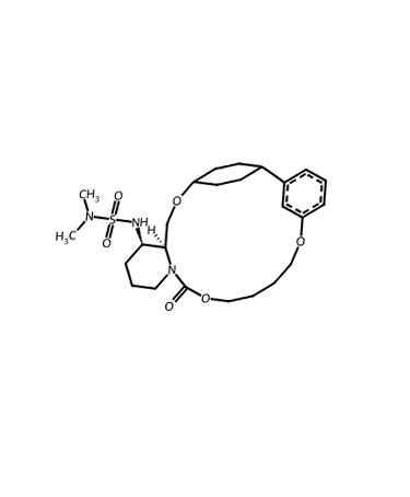 CN(C)S(=O)(=O)N[C@@H]1CCCN2C(=O)OCCCCOc3cccc(c3)C3CCC(CC3)OC[C@H]12